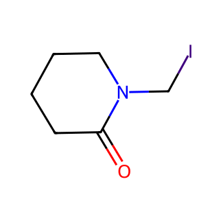 O=C1CCCCN1CI